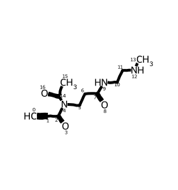 C#CC(=O)N(CCC(=O)NCCNC)C(C)=O